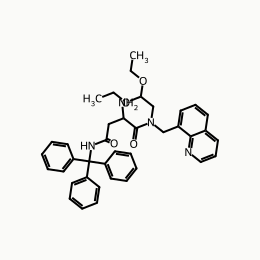 CCOC(CN(Cc1cccc2cccnc12)C(=O)C(N)CC(=O)NC(c1ccccc1)(c1ccccc1)c1ccccc1)OCC